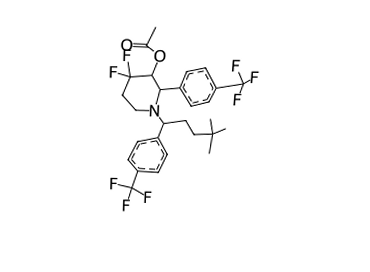 CC(=O)OC1C(c2ccc(C(F)(F)F)cc2)N(C(CCC(C)(C)C)c2ccc(C(F)(F)F)cc2)CCC1(F)F